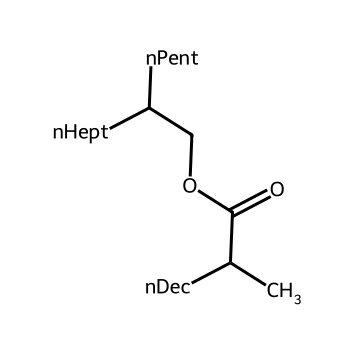 CCCCCCCCCCC(C)C(=O)OCC(CCCCC)CCCCCCC